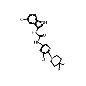 CCc1cc(NC(=O)Nc2c[nH]c3ccc(Cl)cc23)cnc1N1CCC(F)(F)CC1